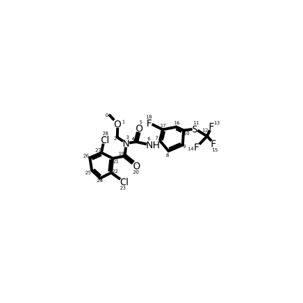 COCN(C(=O)Nc1ccc(SC(F)(F)F)cc1F)C(=O)c1c(Cl)cccc1Cl